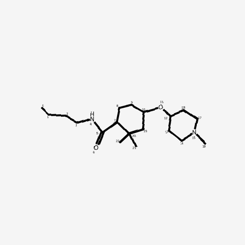 CCCCNC(=O)C1CCC(OC2CCN(C)CC2)CC1(C)C